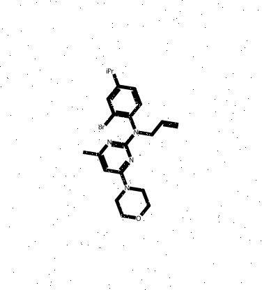 C=CCN(c1nc(C)cc(N2CCOCC2)n1)c1ccc(C(C)C)cc1Br